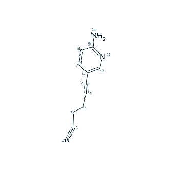 N#CCCC#Cc1ccc(N)nc1